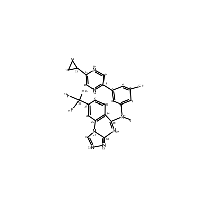 CN(c1cc(F)cc(-c2cnc(C3CC3)cn2)c1)c1nc2nncn2c2cc(C(F)(F)F)ccc12